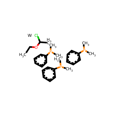 CCOC(C)Cl.CP(C)c1ccccc1.CP(C)c1ccccc1.CP(C)c1ccccc1.[W]